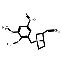 C=CC1C[N+]2(Cc3cc([N+](=O)[O-])cc(OC)c3OC)CCC12